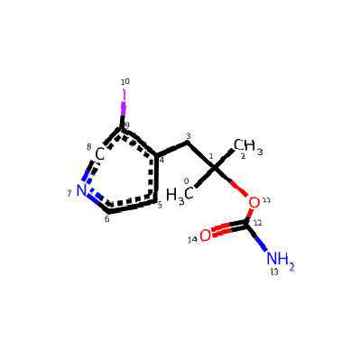 CC(C)(Cc1ccncc1I)OC(N)=O